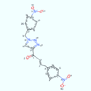 O=C(/C=C/c1ccc([N+](=O)[O-])cc1)c1cn(Cc2ccc([N+](=O)[O-])cc2)nn1